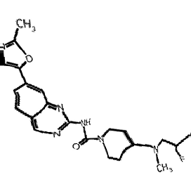 Cc1ncc(-c2ccc3cnc(NC(=O)N4CCC(N(C)CC(F)F)CC4)nc3c2)o1